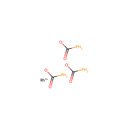 O=C([O-])P.O=C([O-])P.O=C([O-])P.[Rh+3]